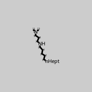 CCCCCCCCCCCCNCCCN(C)C